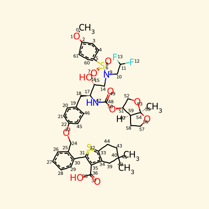 COc1ccc(S(=O)(=O)N(CC(F)F)C[C@@H](O)[C@H](Cc2ccc(OCc3ccccc3-c3sc4c(c3C(=O)O)CC(C)(C)CC4)cc2)NC(=O)O[C@H]2CO[C@@]3(C)OCC[C@@H]23)cc1